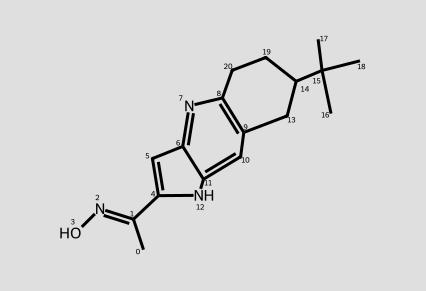 C/C(=N\O)c1cc2nc3c(cc2[nH]1)CC(C(C)(C)C)CC3